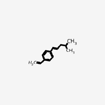 C=Cc1ccc(C=CCC(C)C)cc1